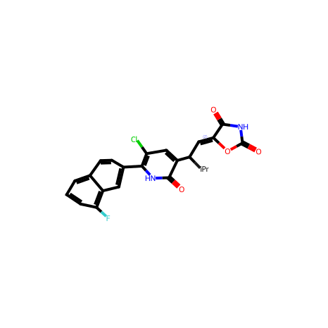 CC(C)C(/C=C1\OC(=O)NC1=O)c1cc(Cl)c(-c2ccc3cccc(F)c3c2)[nH]c1=O